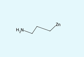 NCC[CH2][Zn]